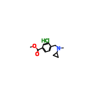 COC(=O)c1ccc(CN(C)C2CC2)cc1.Cl